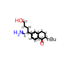 CCCCC1CCc2cc([C@H](CN)CCCO)ccc2C1=O